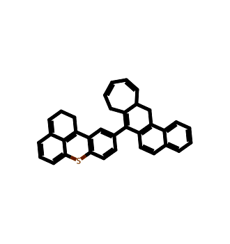 C1=CCC2=C(c3ccc4c(c3)C3=c5c(cccc5=CCC3)S4)c3ccc4ccccc4c3CC2C=C1